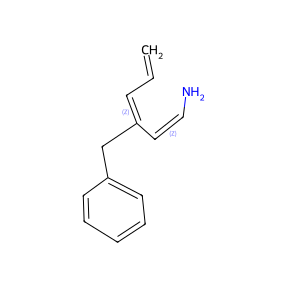 C=C/C=C(\C=C/N)Cc1ccccc1